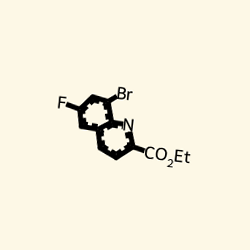 CCOC(=O)c1ccc2cc(F)cc(Br)c2n1